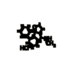 CNCC1CCOC1(c1ccccc1)c1ccccc1.Cl